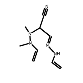 C=CNN=CC(C#N)N(C)N(C)C=C